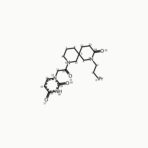 CC(C)CCN1CC2(CCCN(C(=O)Cn3ccc(=O)[nH]c3=O)C2)CCC1=O